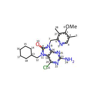 COc1c(C)cnc(Cn2c(=O)n(CC3CCCCC3)c3c(Cl)nc(N)nc32)c1C